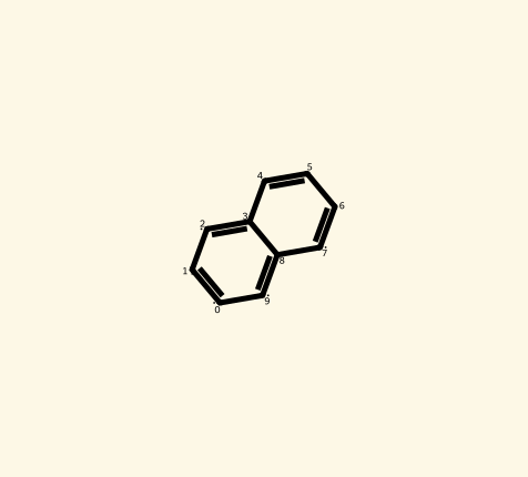 [c]1[c][c]c2cc[c][c]c2[c]1